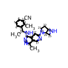 Cc1c(C#N)cccc1[C@@H](C)Nc1nnc(C)c2cnc(N3CCC4NCC43)cc12